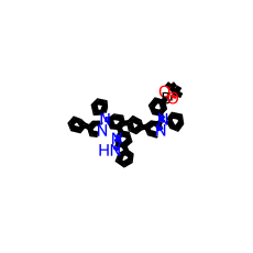 CC1(C)OB(c2cccc(N(c3ccccc3)c3cc(-c4ccc(-c5ccc(N(c6ccccc6)c6cc(-c7ccccc7)ccn6)cc5-c5ccc6c(n5)[nH]c5ccccc56)cc4)ccn3)c2)OC1(C)C